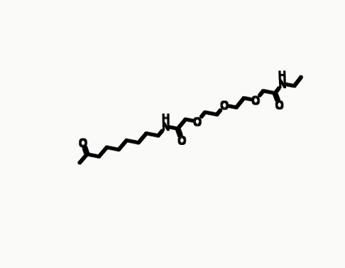 CCNC(=O)COCCOCCOCC(=O)NCCCCCCCC(C)=O